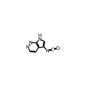 O=C=Nc1c[nH]c2nnccc12